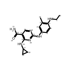 CCNc1ccc(Nc2ncc(C(N)=O)c(NC3CC3)n2)cc1C